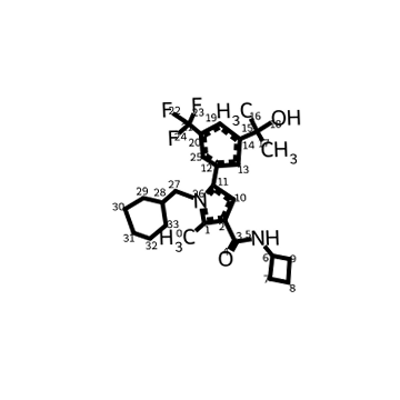 Cc1c(C(=O)NC2CCC2)cc(-c2cc(C(C)(C)O)cc(C(F)(F)F)c2)n1CC1CCCCC1